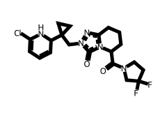 O=C(C1CCCc2nn(CC3(C4C=CC=C(Cl)N4)CC3)c(=O)n21)N1CCC(F)(F)C1